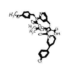 COc1ccc(CN(C(=O)OC(C)(C)C)c2cc(C[C@H]3C(=O)N(C(=O)N4CCCC(c5ccc(Cl)cc5)C4)[C@@H]3C(=O)O)ccn2)cc1